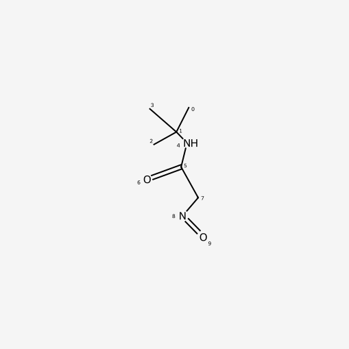 CC(C)(C)NC(=O)CN=O